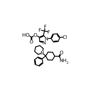 NC(=O)C1CCC(c2ccccc2)(N2CCCCC2)CC1.O=C(O)Oc1cnn(-c2ccc(Cl)cc2)c1C(F)(F)F